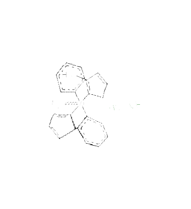 CC1=[C]([Zr](=[SiH2])([C]2=CC=CC2)([c]2ccccc2)[c]2ccccc2)CC=C1.Cl.Cl